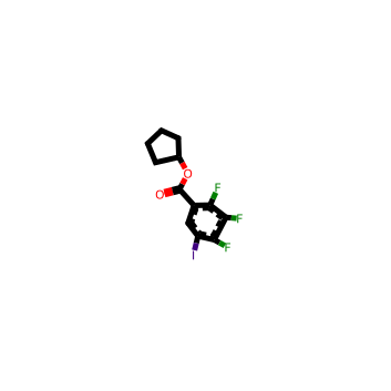 O=C(OC1CCCC1)c1cc(I)c(F)c(F)c1F